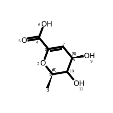 C[C@H]1OC(C(=O)O)=C[C@@H](O)C1O